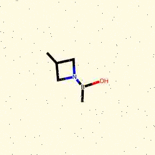 CB(O)N1CC(C)C1